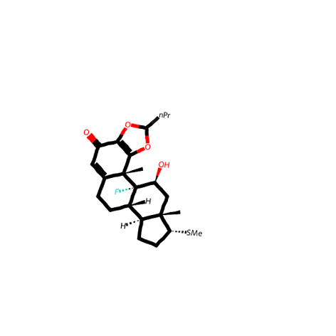 CCCC1OC2=C(O1)[C@@]1(C)C(=CC2=O)CC[C@H]2[C@@H]3CC[C@@H](SC)[C@@]3(C)C[C@H](O)[C@@]21F